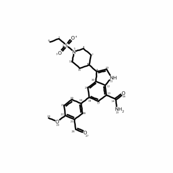 CCS(=O)(=O)N1CCC(c2c[nH]c3c(C(N)=O)cc(-c4ccc(OC)c(C=O)c4)cc23)CC1